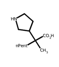 CCCCCC(C)(C(=O)O)C1CCNC1